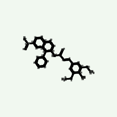 COc1cc(C=CC(=O)Nc2cnc3ccc([N+](=O)[O-])cc3c2-c2ccccc2)cc(OC)c1O